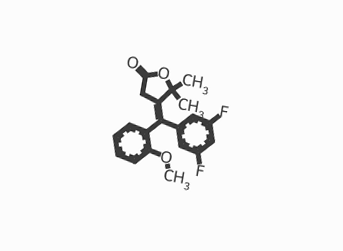 COc1ccccc1C(=C1CC(=O)OC1(C)C)c1cc(F)cc(F)c1